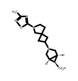 Cc1noc(N2CCC3(CC(N4C[C@@H]5[C@H](C4)[C@@H]5C(=O)O)C3)C2)n1